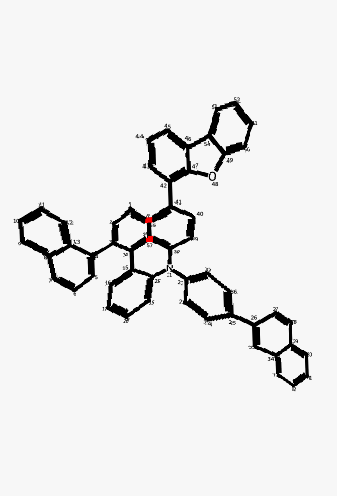 c1ccc(-c2cccc3ccccc23)c(-c2ccccc2N(c2ccc(-c3ccc4ccccc4c3)cc2)c2ccc(-c3cccc4c3oc3ccccc34)cc2)c1